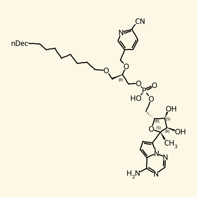 CCCCCCCCCCCCCCCCCCOC[C@H](COP(=O)(O)OC[C@H]1O[C@@](C)(c2ccc3c(N)ncnn23)[C@H](O)[C@@H]1O)OCc1ccc(C#N)nc1